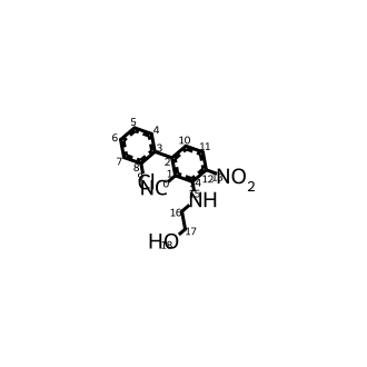 N#Cc1c(-c2ccccc2Cl)ccc([N+](=O)[O-])c1NCCO